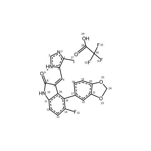 Cc1nc[nH]c1/C=C1\C(=O)Nc2ccc(F)c(-c3ccc4c(c3)OCO4)c21.O=C(O)C(F)(F)F